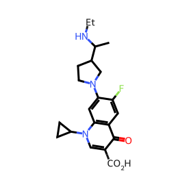 CCNC(C)C1CCN(c2cc3c(cc2F)c(=O)c(C(=O)O)cn3C2CC2)C1